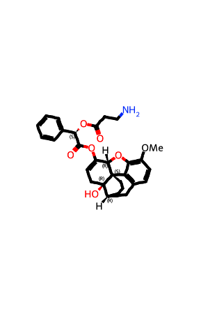 COc1ccc2c3c1O[C@H]1C(OC(=O)[C@@H](OC(=O)CCN)c4ccccc4)=CC[C@@]4(O)[C@H](CCC[C@]314)C2